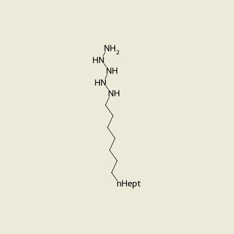 CCCCCCCCCCCCCCNNNNN